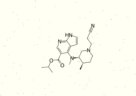 CC(C)OC(=O)c1cnc2[nH]ccc2c1N(C)[C@H]1CN(CCC#N)CC[C@H]1C